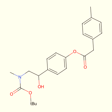 Cc1ccc(CC(=O)Oc2ccc(C(O)CN(C)C(=O)OC(C)(C)C)cc2)cc1